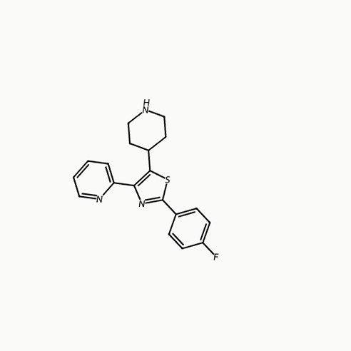 Fc1ccc(-c2nc(-c3ccccn3)c(C3CCNCC3)s2)cc1